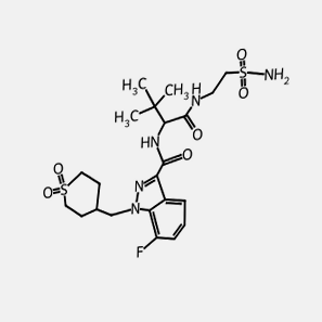 CC(C)(C)C(NC(=O)c1nn(CC2CCS(=O)(=O)CC2)c2c(F)cccc12)C(=O)NCCS(N)(=O)=O